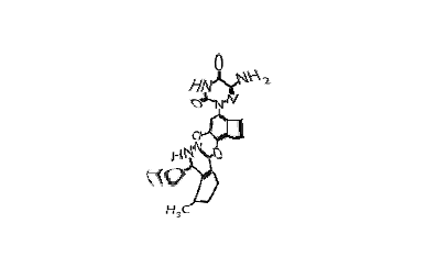 CC1CCC2=C1C(O)NN=C2Oc1c(Cl)cc(-n2nc(N)c(=O)[nH]c2=O)c2c1CC2